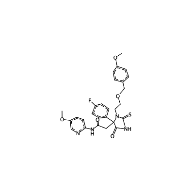 COc1ccc(COCCN2C(=S)NC(=O)C2(CC(=O)Nc2ccc(OC)cn2)c2ccc(F)cc2)cc1